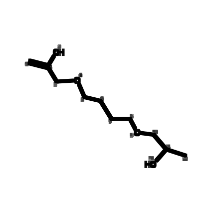 C=C(O)COCCCCOCC(C)O